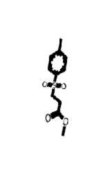 COC(=O)CCS(=O)(=O)c1ccc(C)cc1